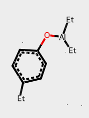 CCc1ccc([O][Al]([CH2]C)[CH2]C)cc1